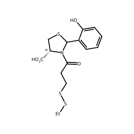 CCSSCCC(=O)N1C(c2ccccc2O)SC[C@H]1C(=O)O